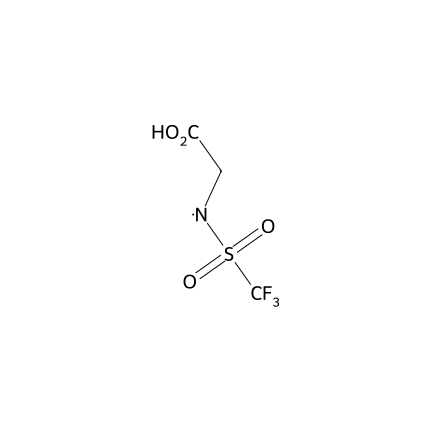 O=C(O)C[N]S(=O)(=O)C(F)(F)F